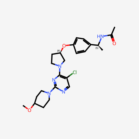 COC1CCN(c2ncc(Cl)c(N3CC[C@@H](Oc4ccc([C@H](C)NC(C)=O)cc4)C3)n2)CC1